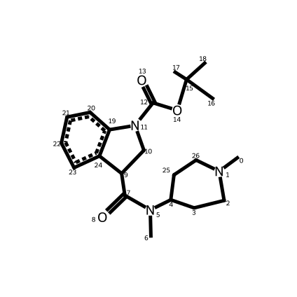 CN1CCC(N(C)C(=O)C2CN(C(=O)OC(C)(C)C)c3ccccc32)CC1